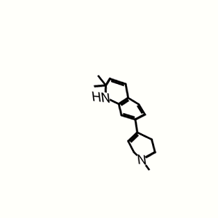 CN1CC=C(c2ccc3c(c2)NC(C)(C)C=C3)CC1